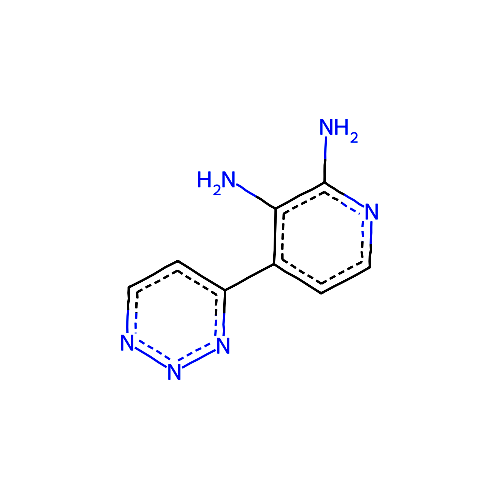 Nc1nccc(-c2ccnnn2)c1N